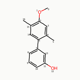 COc1cc(C)c(-c2cccc(O)c2)cc1C